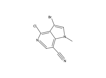 Cn1cc(Br)c2c(Cl)ncc(C#N)c21